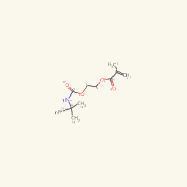 C=C(C)C(=O)OCCOC(=O)NC(C)(C)CCC